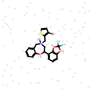 [O-][N+]1(Cc2sccc2Br)Cc2ccccc2OC(c2cccc3c2OC(F)(F)O3)C1